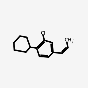 [CH2]/C=C\c1ccc(C2CCCCC2)c(Cl)c1